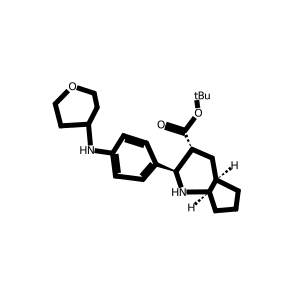 CC(C)(C)OC(=O)[C@@H]1C[C@H]2CCC[C@H]2N[C@H]1c1ccc(NC2CCOCC2)cc1